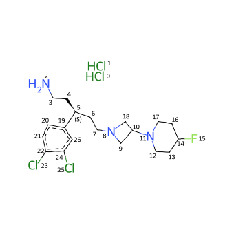 Cl.Cl.NCC[C@@H](CCN1CC(N2CCC(F)CC2)C1)c1ccc(Cl)c(Cl)c1